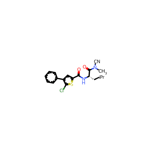 CC(C)C[C@H](NC(=O)c1cc(-c2ccccc2)c(Cl)s1)C(=O)N(C)C#N